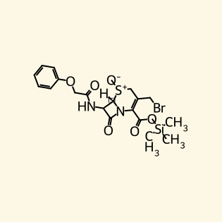 C[Si](C)(C)OC(=O)C1=C(CBr)C[S+]([O-])[C@H]2C(NC(=O)COc3ccccc3)C(=O)N12